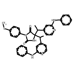 CC(c1ccnc(Nc2ccccc2)c1)C1(C(C)c2ccnc(Nc3ccccc3)c2)NC(=O)N(c2ccc(SC(F)(F)F)cc2)C1=O